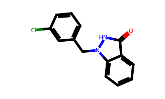 O=c1[nH]n(Cc2cccc(Cl)c2)c2ccccc12